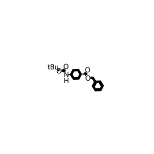 CC(C)(C)OC(=O)N[C@H]1CC[C@@H](C(=O)OCc2ccccc2)CC1